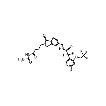 BC(=O)NC(=O)CCCN1Cc2cc(CNC(=O)C(F)(F)c3ccc(F)cc3OCC(F)(F)F)ccc2C1=O